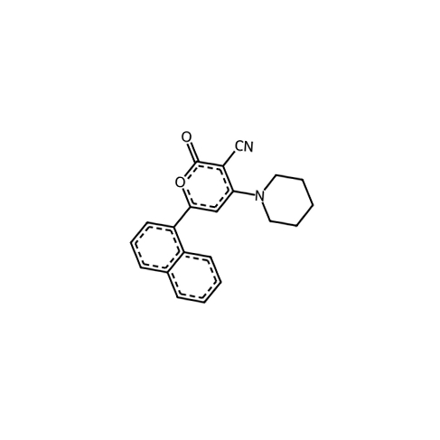 N#Cc1c(N2CCCCC2)cc(-c2cccc3ccccc23)oc1=O